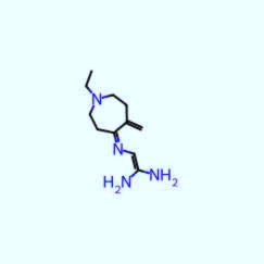 C=C1CCN(CC)CC/C1=N/C=C(N)N